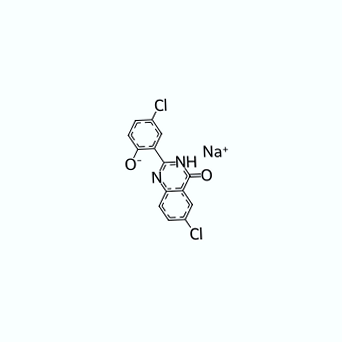 O=c1[nH]c(-c2cc(Cl)ccc2[O-])nc2ccc(Cl)cc12.[Na+]